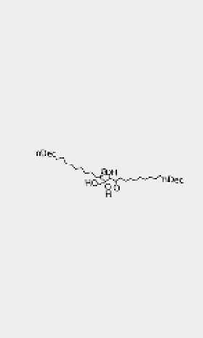 CCCCCCCCCCCCCCCCCCCC(=O)C(O)C(O)(CO)C(=O)CCCCCCCCCCCCCCCCCCC